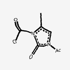 CC(=O)n1cc(C)n(C(=O)Cl)c1=O